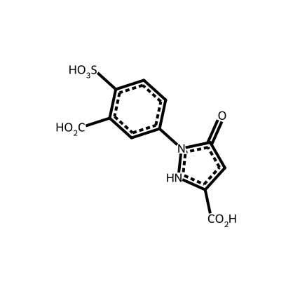 O=C(O)c1cc(=O)n(-c2ccc(S(=O)(=O)O)c(C(=O)O)c2)[nH]1